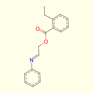 CCc1ccccc1C(=O)OCC=Nc1ccccc1